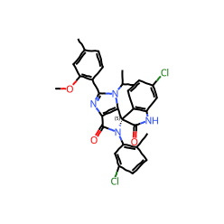 COc1cc(C)ccc1-c1nc2c(n1C(C)C)[C@@]1(C(=O)Nc3cc(Cl)ccc31)N(c1cc(Cl)ccc1C)C2=O